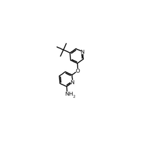 CC(C)(C)c1cncc(Oc2cccc(N)n2)c1